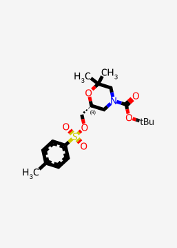 Cc1ccc(S(=O)(=O)OC[C@H]2CN(C(=O)OC(C)(C)C)CC(C)(C)O2)cc1